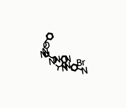 CC(C)c1nn(-c2ccc(C#N)c(Br)c2)c2nccc(-n3cnc(-c4cnn(COCc5ccccc5)c4)c3)c12